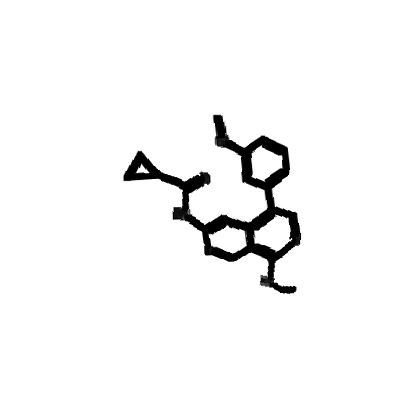 CNc1ncc(-c2cccc(OC)c2)c2cc(NC(=O)C3CC3)ncc12